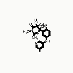 CN1C(=O)C(C)(C)C(C)(c2cc(Nc3cncc(F)c3)ccc2F)N=C1N